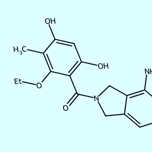 CCOc1c(C)c(O)cc(O)c1C(=O)N1Cc2cccc(N)c2C1